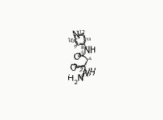 NNC(=O)CC(=O)Nc1ccncc1